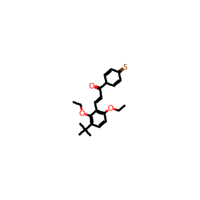 CCOc1ccc(C(C)(C)C)c(OCC)c1/C=C/C(=O)C1C=CC(=S)C=C1